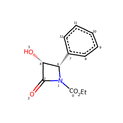 CCOC(=O)N1C(=O)[C@H](O)[C@@H]1c1ccccc1